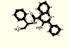 CCC(NC(=O)c1c(N)c(-c2ccccc2)nc2ccccc12)c1ccccc1